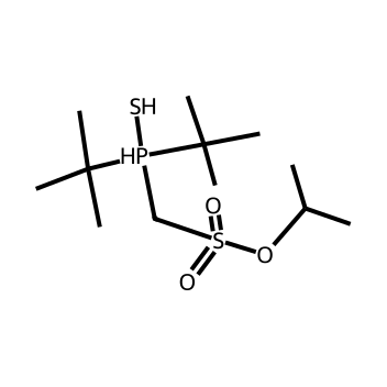 CC(C)OS(=O)(=O)C[PH](S)(C(C)(C)C)C(C)(C)C